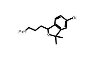 CNCCCC1OC(C)(C)c2cc(C#N)ccc21